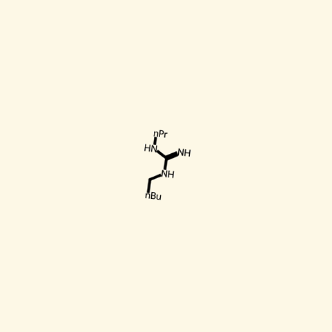 CCCCCNC(=N)NCCC